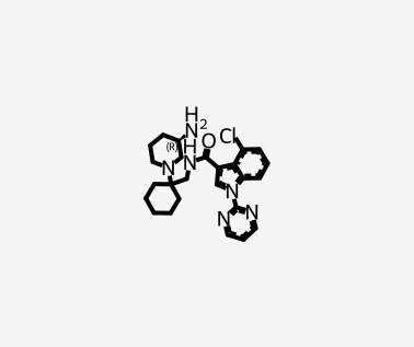 N[C@@H]1CCCN(C2(CNC(=O)c3cn(-c4ncccn4)c4cccc(Cl)c34)CCCCC2)C1